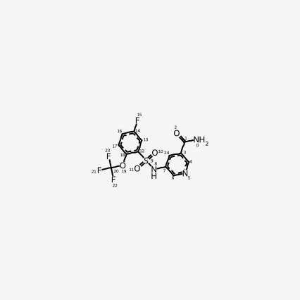 NC(=O)c1cncc(NS(=O)(=O)c2cc(F)ccc2OC(F)(F)F)c1